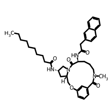 CCCCCCCCCC(=O)N[C@H]1C[C@H]2COc3cccc(c3)C(=O)N(C)CCC[C@H](NC(=O)Cc3ccc4ccccc4c3)C(=O)N2C1